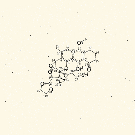 COc1c2c(c(O)c3c4c(c(C)cc13)C1OC3(C5OCCO5)OC1[C@@](OCCS)(O4)[C@@]31CS1)C(=O)CCC2